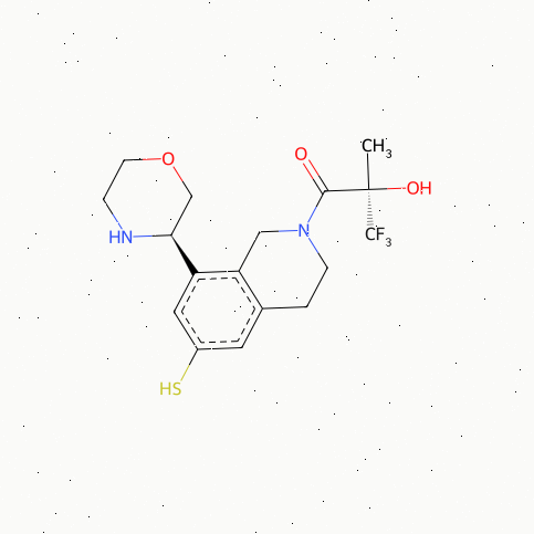 C[C@@](O)(C(=O)N1CCc2cc(S)cc([C@@H]3COCCN3)c2C1)C(F)(F)F